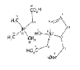 CCCCCCCCCCCC1CN=C[N+]1(O)CC(=O)O.C[N+](C)(C)CC(=O)O